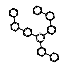 c1ccc(-c2cccc(-c3ccc(-c4nc(-c5cccc(-c6ccccc6)c5)nc(-c5cccc(-c6cccc(-c7ccccc7)c6)c5)n4)cc3)c2)cc1